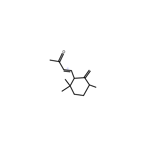 C=C1C(C)CCC(C)(C)C1/C=C/C(C)=O